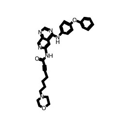 O=C(C#CCCCCN1CCOCC1)Nc1cc2c(Nc3ccc(Oc4ccccc4)cc3)ncnc2cn1